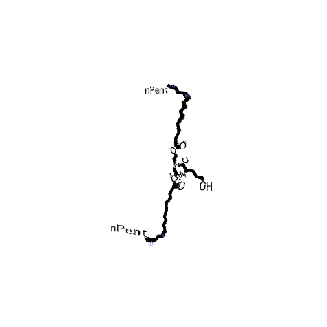 CCCCC/C=C\C/C=C\CCCCCCCC(=O)OCCN(CCOC(=O)CCCCCCC/C=C\C/C=C\CCCCC)C(=O)C(N)CCCO